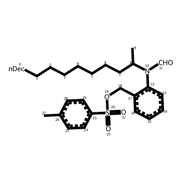 CCCCCCCCCCCCCCCCCC(C)N(C=O)c1ccccc1COS(=O)(=O)c1ccc(C)cc1